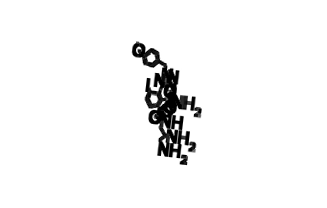 COc1ccc(Cn2nnc(-c3c(I)ccc(S(=O)(=O)NC[C@@H](N)CN)c3S(N)(=O)=O)n2)cc1